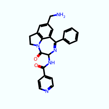 NCc1cc2c3c(c1)C(c1ccccc1)=NC(NC(=O)c1ccncc1)C(=O)N3CC2